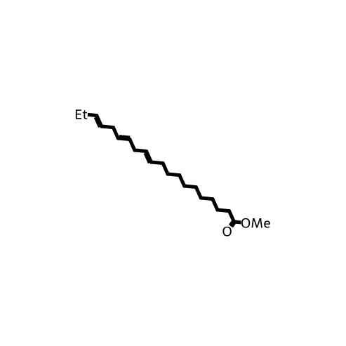 CCC=CCC=CCC=CCCCCCCCCCC(=O)OC